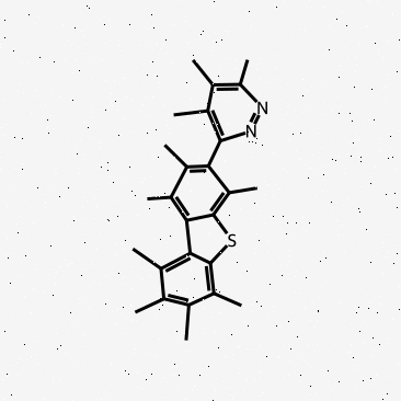 Cc1nnc(-c2c(C)c(C)c3c(sc4c(C)c(C)c(C)c(C)c43)c2C)c(C)c1C